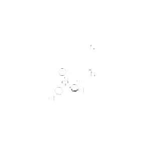 CN(CCCOc1ccccc1CN(c1cc(F)ccc1F)S(=O)(=O)c1ccc(Cl)cc1)C(=O)CCCCCN.Cl